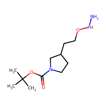 CC(C)(C)OC(=O)N1CCC(CCOPN)C1